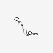 COc1ccc(C2(O)CCC(CCN3CCN(c4ccccn4)CC3)CC2)cc1